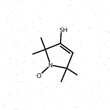 CC1(C)C=C(S)C(C)(C)N1[O]